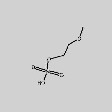 COCCOS(=O)(=O)O